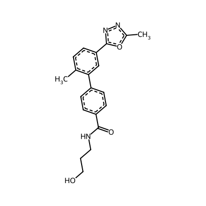 Cc1nnc(-c2ccc(C)c(-c3ccc(C(=O)NCCCO)cc3)c2)o1